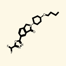 CCCCO[C@H]1CC[C@H](N2Cc3ccc(-c4nnc(C(F)F)o4)cc3C2=O)CC1